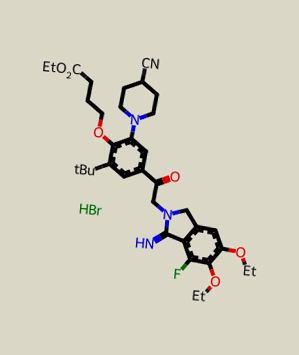 Br.CCOC(=O)CCCOc1c(N2CCC(C#N)CC2)cc(C(=O)CN2Cc3cc(OCC)c(OCC)c(F)c3C2=N)cc1C(C)(C)C